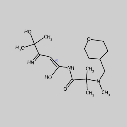 CN(CC1CCOCC1)C(C)(C)C(=O)N/C(O)=C/C(=N)C(C)(C)O